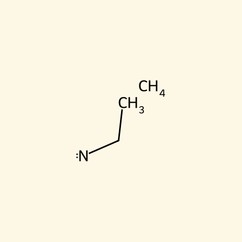 C.CC[N]